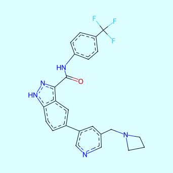 O=C(Nc1ccc(C(F)(F)F)cc1)c1n[nH]c2ccc(-c3cncc(CN4CCC4)c3)cc12